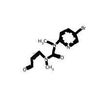 CN(/C=C\C=O)C(=O)N(C)c1ccc(Br)cn1